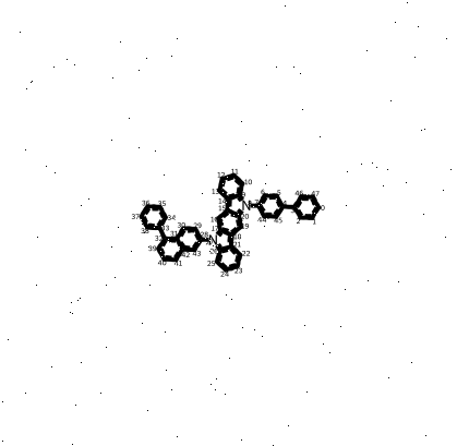 c1ccc(-c2ccc(-n3c4ccccc4c4cc5c(cc43)c3ccccc3n5-c3ccc4c(-c5ccccc5)cccc4c3)cc2)cc1